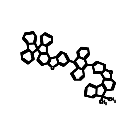 CC1(C)c2ccccc2-c2c1ccc1oc3ccc(-c4c5ccccc5c(-c5ccc6c(c5)oc5ccc7c(c56)-c5ccccc5C75c6ccccc6-c6ccccc65)c5ccccc45)cc3c21